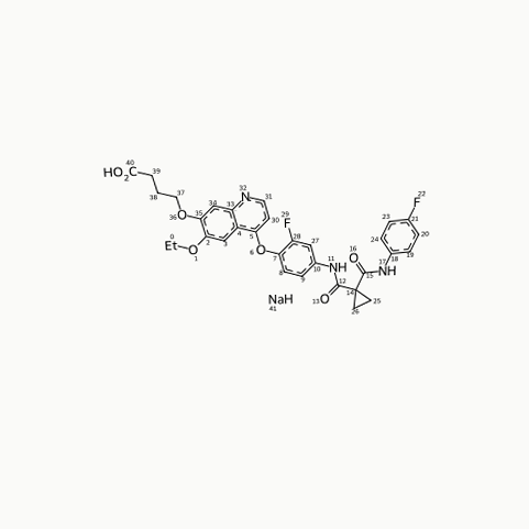 CCOc1cc2c(Oc3ccc(NC(=O)C4(C(=O)Nc5ccc(F)cc5)CC4)cc3F)ccnc2cc1OCCCC(=O)O.[NaH]